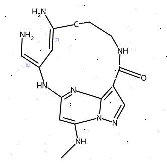 CNc1cc2nc3c(cnn13)C(=O)NCCC/C(N)=C/C(=C\N)N2